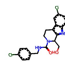 O=C(NCc1ccc(Cl)cc1)N1CCc2c([nH]c3ccc(Cl)cc23)C1CO